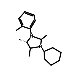 Cc1ccccc1N1C(C)N(C2CCCCC2)C(C)[C@@H]1C